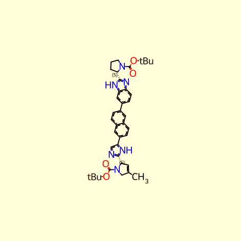 CC1=C[C@@H](c2ncc(-c3ccc4cc(-c5ccc6nc([C@@H]7CCCN7C(=O)OC(C)(C)C)[nH]c6c5)ccc4c3)[nH]2)N(C(=O)OC(C)(C)C)C1